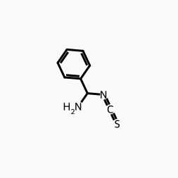 NC(N=C=S)c1ccccc1